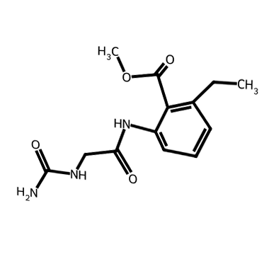 CCc1cccc(NC(=O)CNC(N)=O)c1C(=O)OC